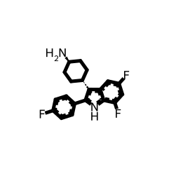 N[C@H]1CC[C@H](c2c(-c3ccc(F)cc3)[nH]c3c(F)cc(F)cc32)CC1